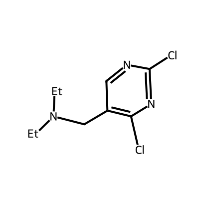 CCN(CC)Cc1cnc(Cl)nc1Cl